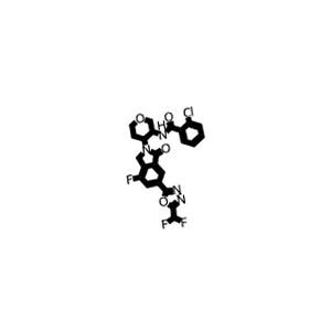 O=C(NC1COCCC1N1Cc2c(F)cc(-c3nnc(C(F)F)o3)cc2C1=O)c1ccccc1Cl